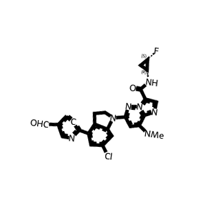 CNc1cc(N2CCc3c(-c4ccc(C=O)cn4)cc(Cl)cc32)nn2c(C(=O)N[C@@H]3C[C@@H]3F)cnc12